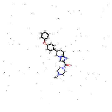 CC(=O)N1CCN(C(=O)c2cn3c(n2)CCC(c2ccc(Oc4ccccc4)cc2)C3)CC1